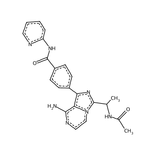 CC(=O)NC(C)c1nc(-c2ccc(C(=O)Nc3ccccn3)cc2)c2c(N)nccn12